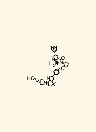 Cn1cc(-c2cnc(N)c(C(=O)N[C@H]3CCC[C@@H]3OCc3ccc(-c4cnc5c(c4)C(C)(C)CCN5C4CCN(CCO)CC4)cc3)c2)cn1